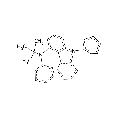 CC(C)(C)N(c1ccccc1)c1cccc2c1c1ccccc1n2-c1ccccc1